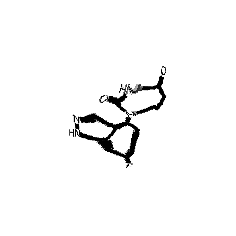 O=C1CCN(c2cc(F)cc3[nH]ncc23)C(=O)N1